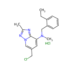 CCc1ccccc1CN(C)c1cc(CCl)cn2nc(C)nc12.Cl